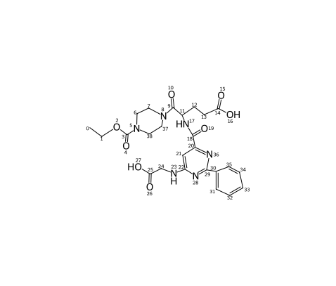 CCOC(=O)N1CCN(C(=O)C(CCC(=O)O)NC(=O)c2cc(NCC(=O)O)nc(-c3ccccc3)n2)CC1